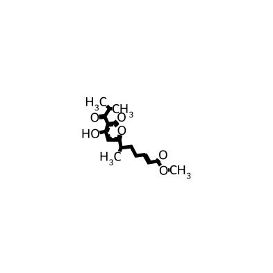 COC(=O)/C=C/CCC(C)c1cc(O)c(C(=O)C(C)C)c(=O)o1